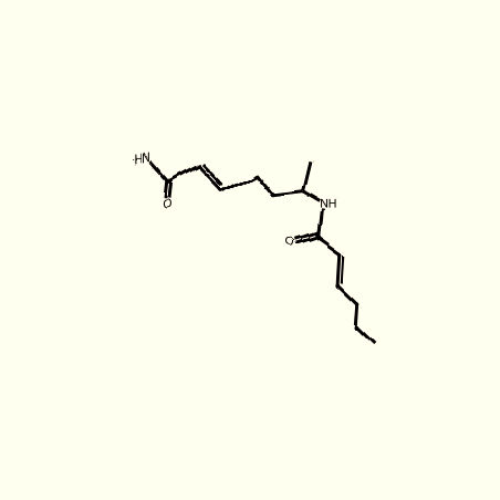 CCCC=CC(=O)NC(C)CCC=CC([NH])=O